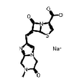 CN1Cc2nc(/C=C3/C(=O)N4C(C(=O)[O-])=CSC34)cn2CC1=O.[Na+]